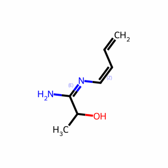 C=C/C=C\N=C(\N)C(C)O